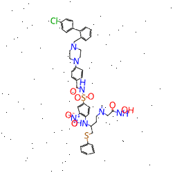 CN(CCC(CSc1ccccc1)Nc1ccc(S(=O)(=O)NC(=O)c2ccc(N3CCN(Cc4ccccc4-c4ccc(Cl)cc4)CC3)cc2)cc1[N+](=O)[O-])CC(=O)NO